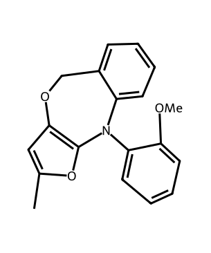 COc1ccccc1N1c2ccccc2COc2cc(C)oc21